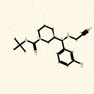 CC(C)(C)OC(=O)N1CCC[C@@H]([C@@H](OCC#N)c2cccc(Cl)c2)C1